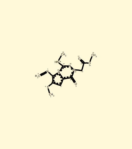 C=Nc1c(SC)cc2c(=O)n(CC(=O)OC)nc(NC)n12